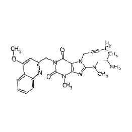 CC#CCn1c(N(C)CC(C)N)nc2c1c(=O)n(Cc1cc(OC)c3ccccc3n1)c(=O)n2C